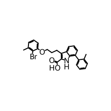 Cc1ccccc1-c1cccc2c(CCCOc3cccc(C)c3Br)c(C(=O)O)[nH]c12